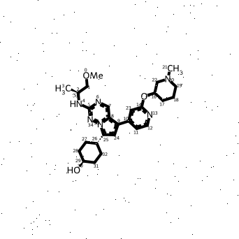 COC[C@H](C)Nc1ncc2c(-c3ccnc(OC4CCCN(C)C4)c3)cc([C@H]3CC[C@H](O)CC3)n2n1